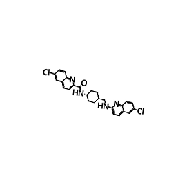 O=C(N[C@H]1CC[C@H](CNc2ccc3cc(Cl)ccc3n2)CC1)c1ccc2cc(Cl)ccc2n1